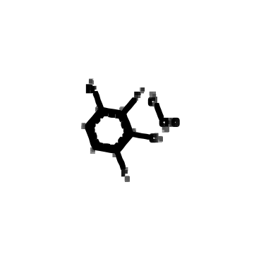 Fc1ccc(Br)c(F)c1Cl.O=CCl